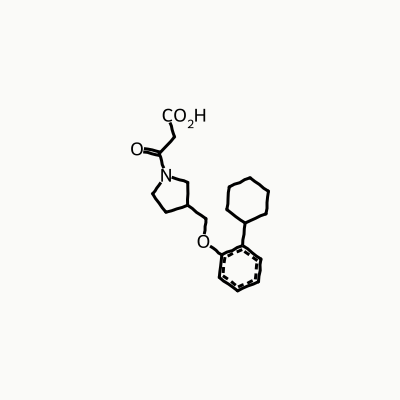 O=C(O)CC(=O)N1CCC(COc2ccccc2C2CCCCC2)C1